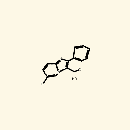 Cl.ClCc1c(-c2ccccc2)nc2ccc(Cl)cn12